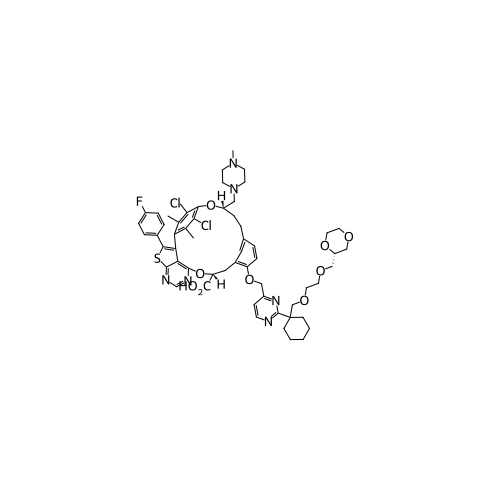 Cc1c(Cl)c2c(Cl)c(C)c1-c1c(-c3ccc(F)cc3)sc3ncnc(c13)O[C@@H](C(=O)O)Cc1cc(ccc1OCc1ccnc(C3(COCCOC[C@H]4COCCO4)CCCCC3)n1)CC[C@@H](CN1CCN(C)CC1)O2